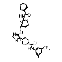 Cc1cc(NC(=O)N2CCN(c3nsnc3OCc3ccnc(NC(=O)c4ccccc4)n3)CC2)cc(C(F)(F)F)c1